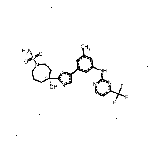 Cc1cc(Nc2nccc(C(F)(F)F)n2)cc(-c2cnc([C@@]3(O)CCCN(S(N)(=O)=O)CC3)s2)c1